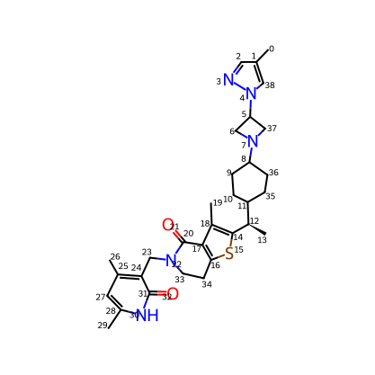 Cc1cnn(C2CN(C3CCC([C@@H](C)c4sc5c(c4C)C(=O)N(Cc4c(C)cc(C)[nH]c4=O)CC5)CC3)C2)c1